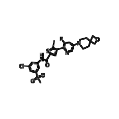 Cc1sc(C(=O)Nc2cc(Cl)cc(S(C)(=O)=O)c2)cc1-c1ncc(N2CCC3(CC2)COC3)cc1F